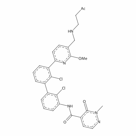 COc1nc(-c2cccc(-c3cccc(NC(=O)c4ccnn(C)c4=O)c3Cl)c2Cl)ccc1CNCCC(C)=O